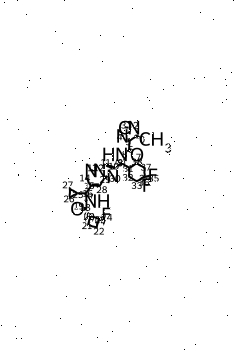 Cc1nonc1C(=O)N[C@H](c1cn2ncc(C(NC(=O)[C@H]3CC[C@H]3F)C3CC3)cc2n1)C1CCC(F)(F)CC1